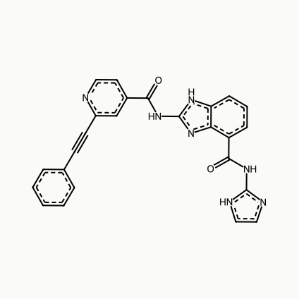 O=C(Nc1nc2c(C(=O)Nc3ncc[nH]3)cccc2[nH]1)c1ccnc(C#Cc2ccccc2)c1